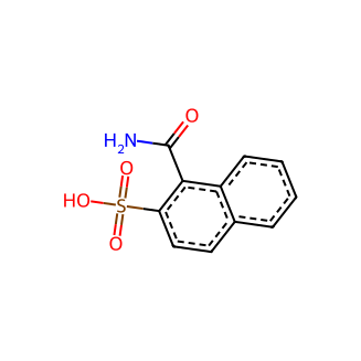 NC(=O)c1c(S(=O)(=O)O)ccc2ccccc12